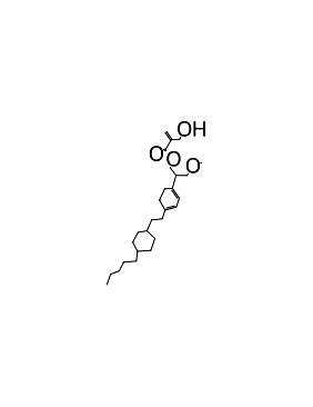 C=C(CO)C(=O)OCC(COC)C1=CC=C(CCC2CCC(CCCCC)CC2)CC1